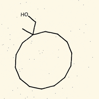 CC1(CO)CCCCCCCCCCCCC1